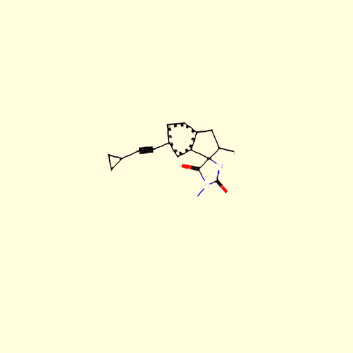 CC1Cc2ccc(C#CC3CC3)cc2C12NC(=O)N(N)C2=O